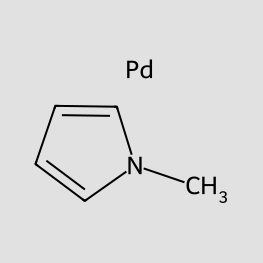 Cn1cccc1.[Pd]